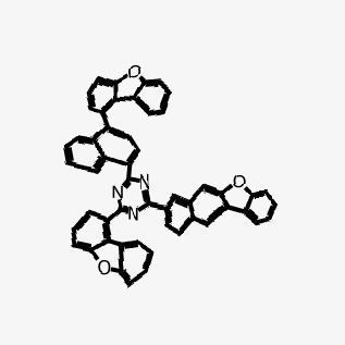 c1ccc2c(c1)oc1cc3cc(-c4nc(-c5ccc(-c6cccc7oc8ccccc8c67)c6ccccc56)nc(-c5cccc6oc7ccccc7c56)n4)ccc3cc12